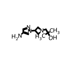 CC(C)(O)CN1CC(n2cc(N)cn2)C1